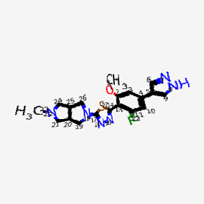 COc1cc(-c2cn[nH]c2)cc(F)c1-c1nnc(N2CC3CN(C)CC3C2)s1